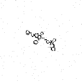 O=C1c2ccc(OCc3ccccc3)cc2N(c2ccccc2)CN1CCCOC1SC(=O)N(Cc2ccccc2)C1=O